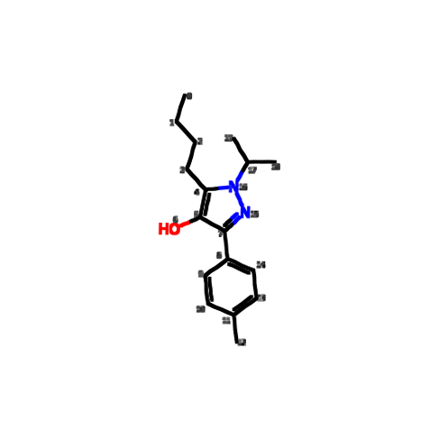 CCCCc1c(O)c(-c2ccc(C)cc2)nn1C(C)C